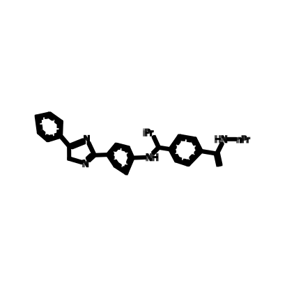 C=C(NCCC)c1ccc(C(Nc2ccc(C3=NCC(c4ccccc4)=N3)cc2)C(C)C)cc1